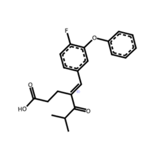 CC(C)C(=O)/C(=C/c1ccc(F)c(Oc2ccccc2)c1)CCC(=O)O